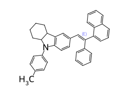 Cc1ccc(N2c3ccc(/C=C(\c4ccccc4)c4cccc5ccccc45)cc3C3CCCCC32)cc1